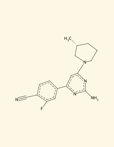 C[C@@H]1CCCN(c2cc(-c3ccc(C#N)c(F)c3)nc(N)n2)C1